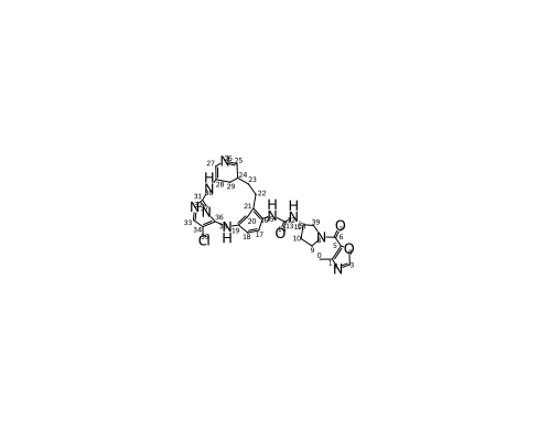 Cc1ncoc1C(=O)N1CC[C@H](NC(=O)Nc2ccc3cc2CCC2C=NC=C(C2)Nc2ncc(Cl)c(n2)N3)C1